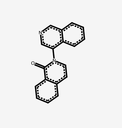 O=c1c2ccccc2ccn1-c1cncc2ccccc12